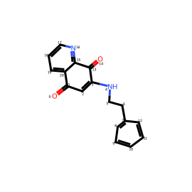 O=C1C=C(NCCc2ccccc2)C(=O)c2ncccc21